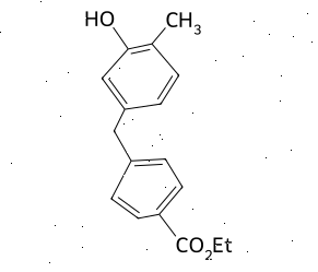 CCOC(=O)c1ccc(Cc2ccc(C)c(O)c2)cc1